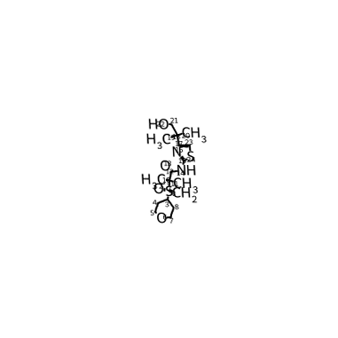 C=S(=O)(C1CCOCC1)C(C)(C)C(=O)Nc1nc(C(C)(C)CO)cs1